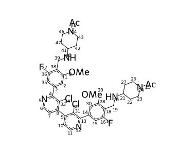 COc1cc(-c2nccc(-c3ccnc(-c4cc(F)c(CNC5CCN(C(C)=O)CC5)c(OC)c4)c3Cl)c2Cl)cc(F)c1CNC1CCN(C(C)=O)CC1